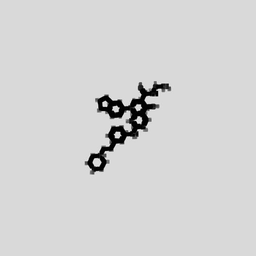 CONC(=O)c1cn(-c2ccc3c(c2)CCC3)c2nc(Nc3cccc(CCN4CCSCC4)c3)ncc2c1=O